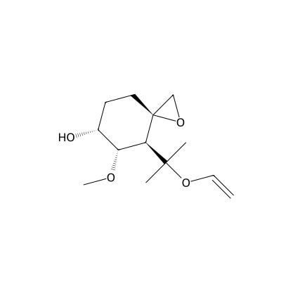 C=COC(C)(C)[C@H]1[C@H](OC)[C@H](O)CC[C@]12CO2